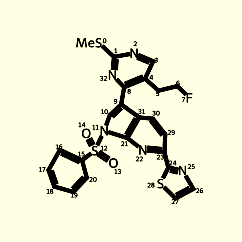 CSc1ncc(CCF)c(-c2cn(S(=O)(=O)c3ccccc3)c3nc(-c4nccs4)ccc23)n1